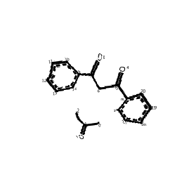 CC(C)=O.O=C(CC(=O)c1ccccc1)c1ccccc1